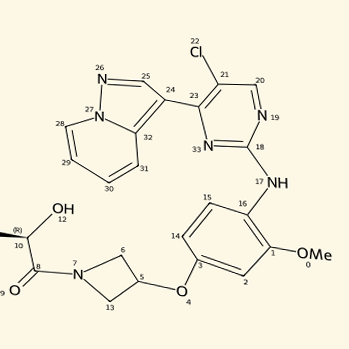 COc1cc(OC2CN(C(=O)[C@@H](C)O)C2)ccc1Nc1ncc(Cl)c(-c2cnn3ccccc23)n1